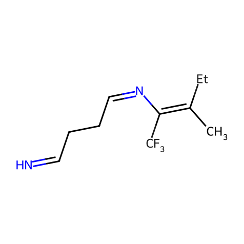 CC/C(C)=C(\N=C/CCC=N)C(F)(F)F